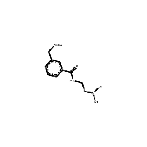 CCN(CC)CCNC(=O)c1cccc(CNC(C)=O)c1